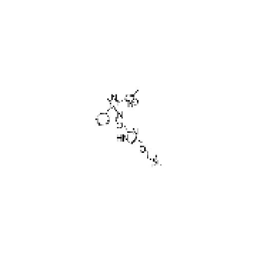 Cc1cc(-c2nnc3c4ccccc4c(OCc4nc(COCC[Si](C)(C)C)c[nH]4)nn23)no1